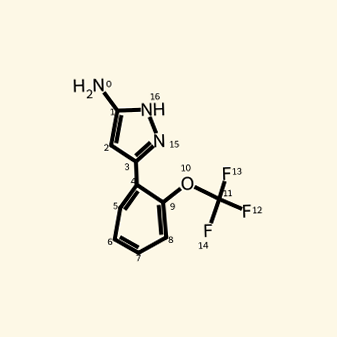 Nc1cc(-c2ccccc2OC(F)(F)F)n[nH]1